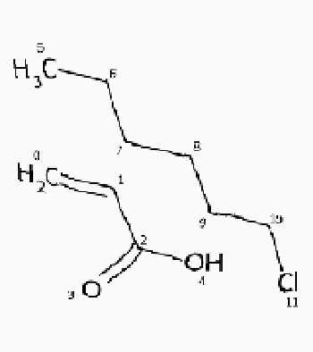 C=CC(=O)O.CCCCCCCl